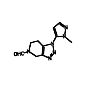 Cn1nccc1-n1nnc2c1CCN(C=O)C2